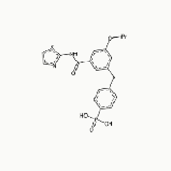 CC(C)Oc1cc(Cc2ccc(P(=O)(O)O)cc2)cc(C(=O)Nc2nccs2)c1